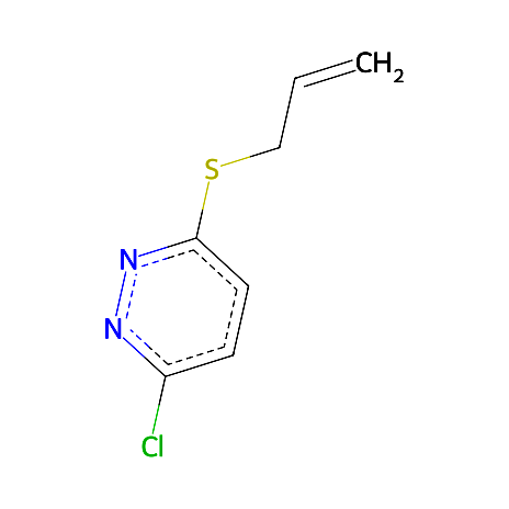 C=CCSc1ccc(Cl)nn1